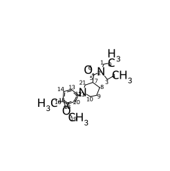 CCN(CC)C(=O)C1CCCN(c2ccc(C)c(OC)c2)C1